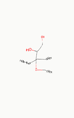 CCCCCCOC(CCCCCC)(CCCCCC)C(O)CO